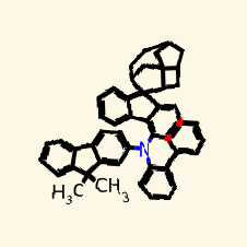 CC1(C)c2ccccc2-c2ccc(N(c3ccccc3-c3ccccc3)c3cccc4c3-c3ccccc3C43C4CCC5CC6CC3C6(C5)C4)cc21